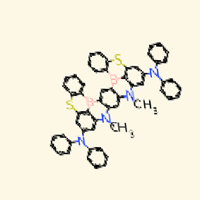 CN1c2cc3c(cc2B2c4ccccc4Sc4cc(N(c5ccccc5)c5ccccc5)cc1c42)B1c2ccccc2Sc2cc(N(c4ccccc4)c4ccccc4)cc(c21)N3C